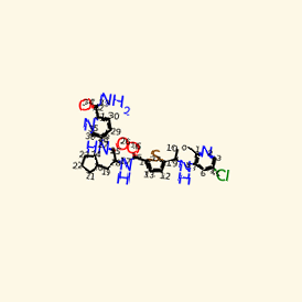 Cc1ncc(Cl)cc1NC(C)c1ccc(C(=O)NC(CC2CCCC2)C(=O)Nc2ccc(C(N)=O)nc2)s1